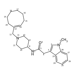 Cn1cc(CC(=O)NC2CCN(CC3=CCCCCCC3)CC2)c2ccccc21